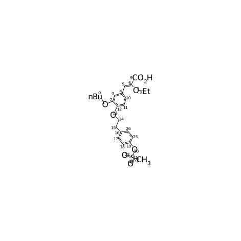 CCCCOc1cc(C=C(OCC)C(=O)O)ccc1OCCc1ccc(OS(C)(=O)=O)cc1